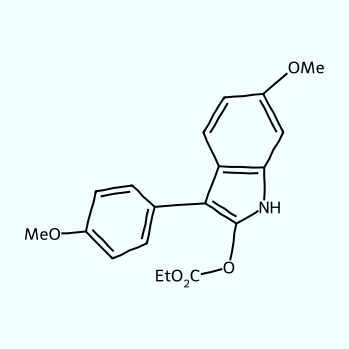 CCOC(=O)Oc1[nH]c2cc(OC)ccc2c1-c1ccc(OC)cc1